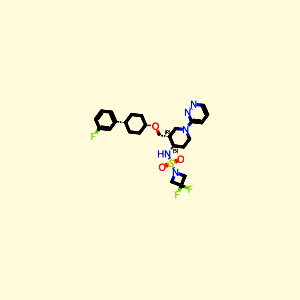 O=S(=O)(N[C@H]1CCN(c2cccnn2)C[C@H]1CO[C@H]1CC[C@@H](c2cccc(F)c2)CC1)N1CC(F)(F)C1